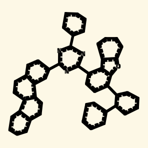 c1ccc(-c2nc(-c3ccc4ccc5c6ccccc6ccc5c4c3)nc(-c3ccc(-c4ccccc4-c4ccccc4)c4oc5ccccc5c34)n2)cc1